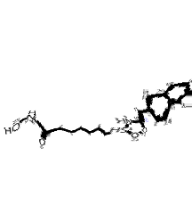 O=C(CCCCCC[SH]1N/C(=C/c2ccc3ccccc3c2)OO1)NO